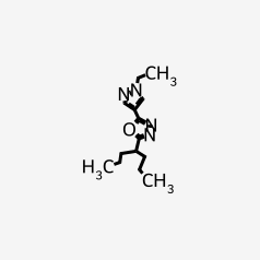 CCCC(CCC)c1nnc(-c2cnn(CC)c2)o1